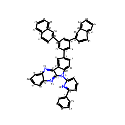 c1ccc(-c2cccc(-n3c4ccc(-c5cc(-c6ccc7ccccc7c6)cc(-c6ccc7ccccc7c6)c5)cc4c4nc5ccccc5nc43)n2)cc1